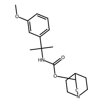 COc1cccc(C(C)(C)NC(=O)OC2CN3CCC2CC3)c1